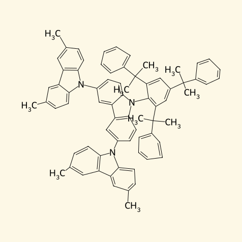 Cc1ccc2c(c1)c1cc(C)ccc1n2-c1ccc2c(c1)c1cc(-n3c4ccc(C)cc4c4cc(C)ccc43)ccc1n2-c1c(C(C)(C)c2ccccc2)cc(C(C)(C)c2ccccc2)cc1C(C)(C)c1ccccc1